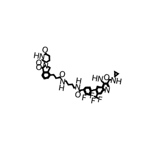 CNc1c(C(=O)NC2CC2)cnc2cc(C(F)(F)F)c(-c3ccc(C(=O)NCCCCNC(=O)CCc4cccc5c4CN(C4CCC(=O)NC4=O)C5=O)c(F)c3)cc12